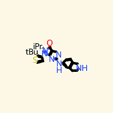 CC(C)n1c(=O)c2cnc(Nc3ccc4c(c3)CCNC4)nc2n1-c1ccsc1C(C)(C)C